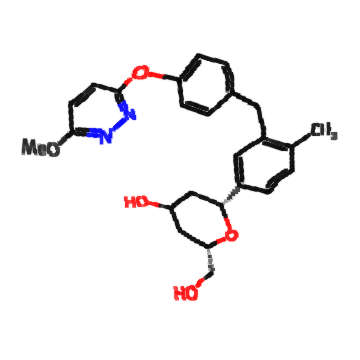 COc1ccc(Oc2ccc(Cc3cc([C@H]4CC(O)C[C@@H](CO)O4)ccc3C)cc2)nn1